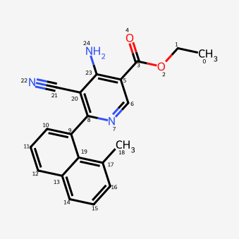 CCOC(=O)c1cnc(-c2cccc3cccc(C)c23)c(C#N)c1N